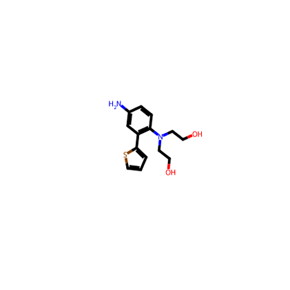 Nc1ccc(N(CCO)CCO)c(-c2cccs2)c1